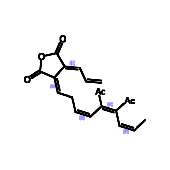 C=C/C=C1/C(=O)OC(=O)/C1=C/C\C=C/C(C(C)=O)=C(\C=C/C)C(C)=O